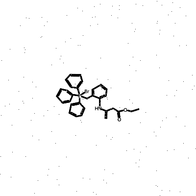 C=C(CC(=O)OCC)Nc1ccccc1CP(Br)(c1ccccc1)(c1ccccc1)c1ccccc1